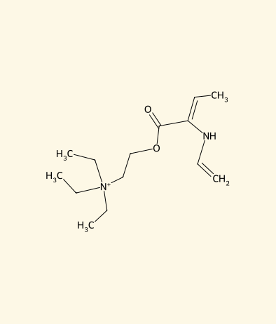 C=CN/C(=C\C)C(=O)OCC[N+](CC)(CC)CC